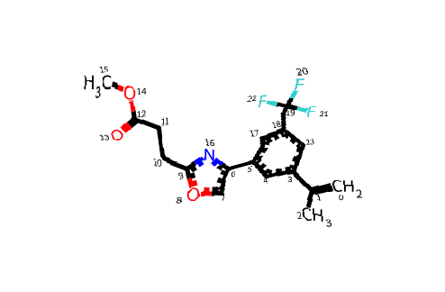 C=C(C)c1cc(-c2coc(CCC(=O)OC)n2)cc(C(F)(F)F)c1